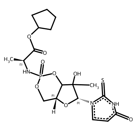 C[C@H](NP1(=O)OC[C@H]2O[C@@H](n3ccc(=O)[nH]c3=S)C(C)(O)C2O1)C(=O)OC1CCCC1